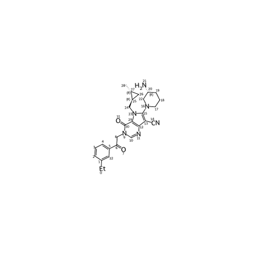 CCc1cccc(C(=O)Cn2cnc3c(C#N)c(N4CCC[C@@H](N)C4)n(C[C@@H]4C[C@H]4C)c3c2=O)c1